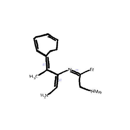 CC/C(CNC)=N/C(=C/N)C(/C)=C1/C=CC=CC1